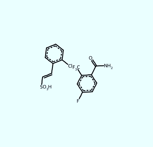 NC(=O)c1ccc(F)cc1C(F)(F)F.O=S(=O)(O)/C=C/c1ccccc1Cl